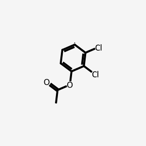 CC(=O)Oc1cc[c]c(Cl)c1Cl